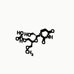 COC[C@@H](CO[PH](=O)O)O[C@H](CO)n1ccc(=O)[nH]c1=O